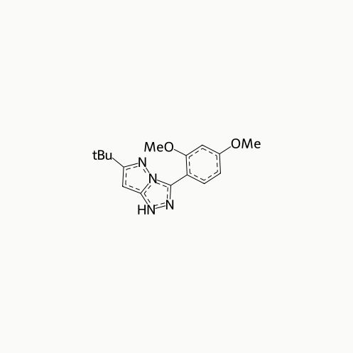 COc1ccc(-c2n[nH]c3cc(C(C)(C)C)nn23)c(OC)c1